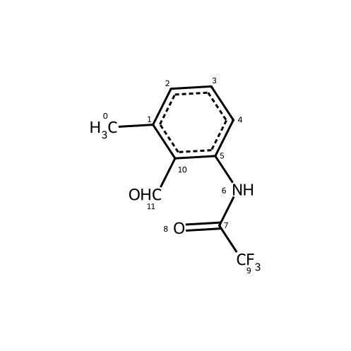 Cc1cccc(NC(=O)C(F)(F)F)c1C=O